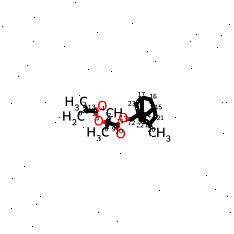 C=C(C)C(=O)OC(C)(C)C(=O)OCC12CC3CC(CC(C)(C3)C1)C2